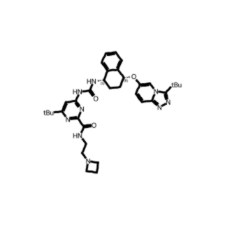 CC(C)(C)c1cc(NC(=O)N[C@H]2CC[C@@H](Oc3ccc4nnc(C(C)(C)C)n4c3)c3ccccc32)nc(C(=O)NCCN2CCC2)n1